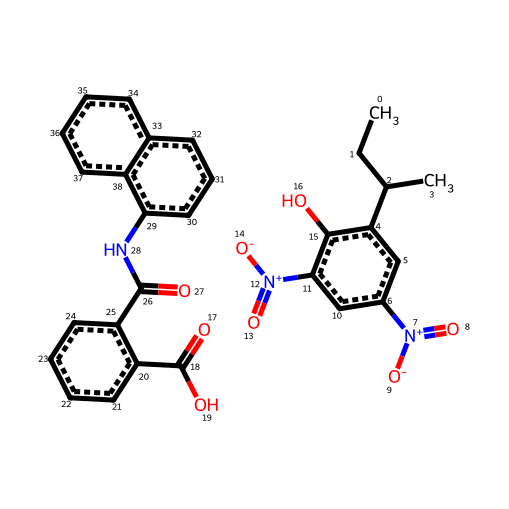 CCC(C)c1cc([N+](=O)[O-])cc([N+](=O)[O-])c1O.O=C(O)c1ccccc1C(=O)Nc1cccc2ccccc12